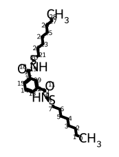 CCCCCCCCSNC(=O)c1cccc(C(=O)NSCCCCCCCC)c1